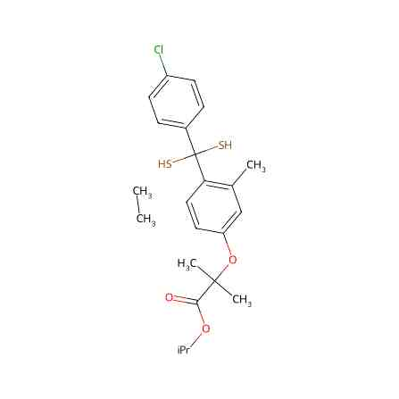 CC.Cc1cc(OC(C)(C)C(=O)OC(C)C)ccc1C(S)(S)c1ccc(Cl)cc1